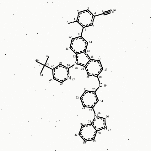 Cc1ccc(C#N)cc1-c1ccc2c(c1)c1ccc(Oc3cccc(-n4cnc5ccccc54)c3)cc1n2-c1cc(C(C)(C)C)ccn1